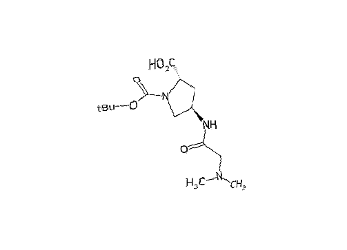 CN(C)CC(=O)N[C@@H]1C[C@@H](C(=O)O)N(C(=O)OC(C)(C)C)C1